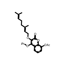 CC(=O)Oc1cccc2c(OC(C)C)c(OC/C=C(\C)CCC=C(C)C)c(=O)oc12